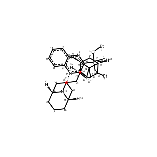 CCOP(=O)(OCC)c1nc2ccccc2n([C@H]2C[C@H]3CCC[C@@H](C2)N3CC[C@@H]2CC[C@H]3C[C@@H]2C3(C)C)c1=O